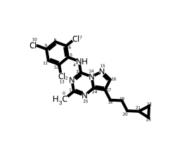 Cc1nc(Nc2c(Cl)cc(Cl)cc2Cl)n2ncc(CCCC3CC3)c2n1